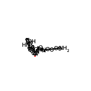 CC[C@H](C)[C@@H]([C@@H](CC(=O)N1CCC[C@H]1[C@H](OC)[C@@H](C)C(=O)N[C@@H](Cc1cccs1)C(=O)O)OC)N(C)C(=O)[C@@H](NC(=O)C(C)(C)N(C)CCOCCOCCOCCON)C(C)(C)C